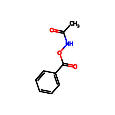 CC(=O)NOC(=O)c1ccccc1